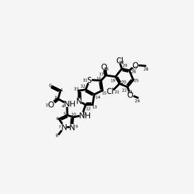 C=CC(=O)Nc1cn(C)nc1Nc1cc2cc(C(=O)c3c(Cl)c(OC)cc(OC)c3Cl)sc2cn1